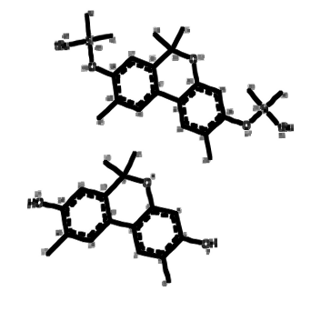 Cc1cc2c(cc1O)OC(C)(C)c1cc(O)c(C)cc1-2.Cc1cc2c(cc1O[Si](C)(C)C(C)(C)C)OC(C)(C)c1cc(O[Si](C)(C)C(C)(C)C)c(C)cc1-2